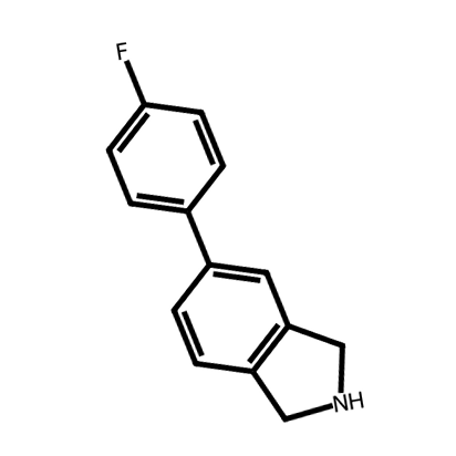 Fc1ccc(-c2ccc3c(c2)CNC3)cc1